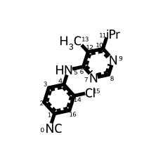 [C-]#[N+]c1ccc(Nc2ncnc(C(C)C)c2C)c(Cl)c1